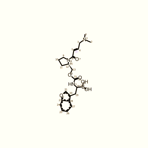 CN(C)C/C=C/C(=O)N1CCC[C@@H]1COC(=O)NC(Cc1coc2ccccc12)B(O)O